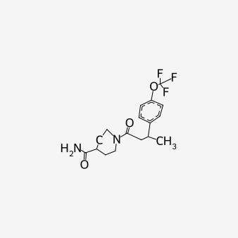 CC(CC(=O)N1CCC(C(N)=O)CC1)c1ccc(OC(F)(F)F)cc1